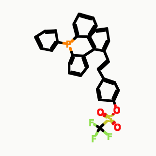 O=S(=O)(Oc1ccc(C=Cc2ccccc2-c2ccccc2P(c2ccccc2)c2ccccc2)cc1)C(F)(F)F